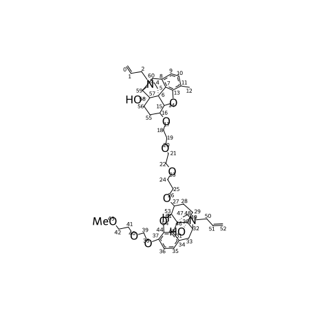 C=CCN1CC[C@]23c4c5ccc(C)c4OC2C(OCCOCCOCCOC2CC[C@@]4(O)C6Cc7ccc(OCOCCOC)c8c7[C@@]4(CCN6CC=C)[C@H]2O8)CC[C@@]3(O)C1C5